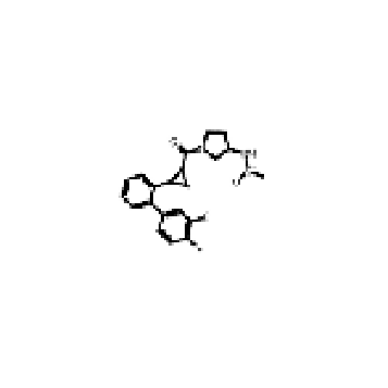 C[S+]([O-])NC1CCN(C(=O)C2CC2c2ccccc2-c2ccc(F)c(F)c2)C1